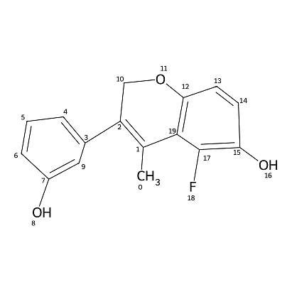 CC1=C(c2cccc(O)c2)COc2ccc(O)c(F)c21